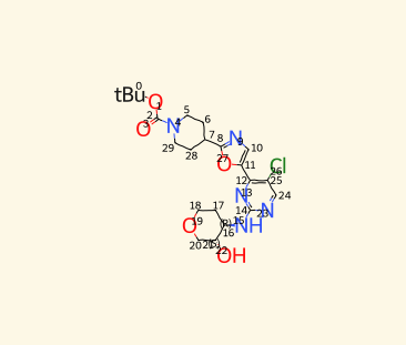 CC(C)(C)OC(=O)N1CCC(c2ncc(-c3nc(N[C@@H]4CCOC[C@H]4O)ncc3Cl)o2)CC1